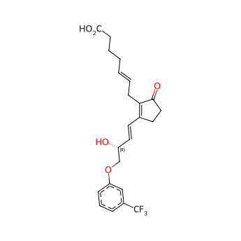 O=C(O)CCCC=CCC1=C(C=C[C@@H](O)COc2cccc(C(F)(F)F)c2)CCC1=O